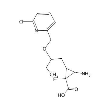 CCC(CC1C(N)C1(F)C(=O)O)OCc1cccc(Cl)n1